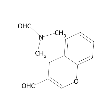 CN(C)C=O.O=CC1=COc2ccccc2C1